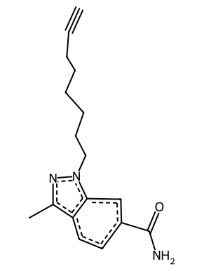 C#CCCCCCCn1nc(C)c2ccc(C(N)=O)cc21